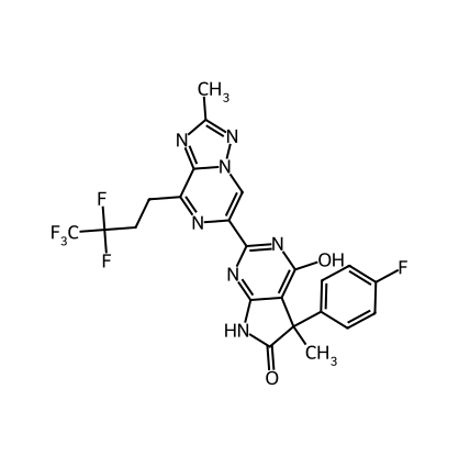 Cc1nc2c(CCC(F)(F)C(F)(F)F)nc(-c3nc(O)c4c(n3)NC(=O)C4(C)c3ccc(F)cc3)cn2n1